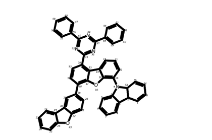 C1=CC2c3ccccc3N(c3cccc4c3oc3c(-c5ccc6oc7ccccc7c6c5)ccc(-c5nc(-c6ccccc6)nc(-c6ccccc6)n5)c34)C2C=C1